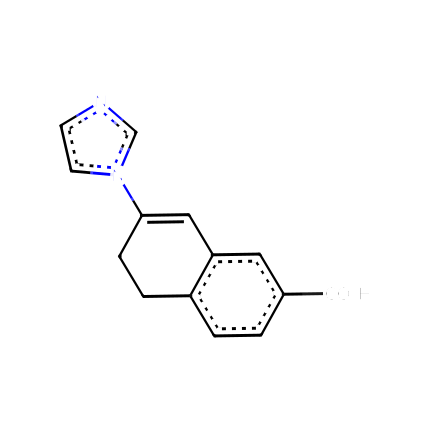 O=C(O)c1ccc2c(c1)C=C(n1ccnc1)CC2